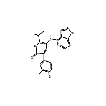 Cc1cc(-c2cc(Nc3ncnc4[nH]ncc34)c(C(C)C)[nH]c2=O)ccc1F